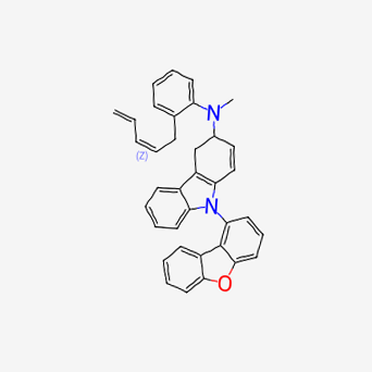 C=C/C=C\Cc1ccccc1N(C)C1C=Cc2c(c3ccccc3n2-c2cccc3oc4ccccc4c23)C1